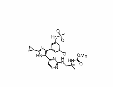 COC(=O)N[C@@H](C)CNc1nccc(-c2[nH]c(C3CC3)nc2-c2cc(Cl)cc(NS(C)(=O)=O)c2)n1